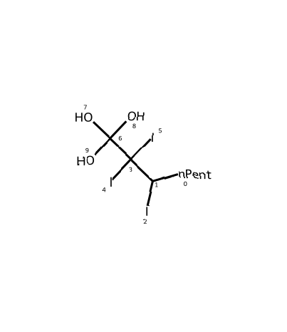 CCCCCC(I)C(I)(I)C(O)(O)O